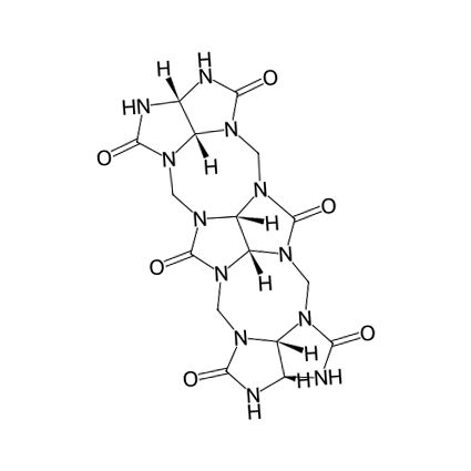 O=C1N[C@H]2NC(=O)N3CN4C(=O)N5CN6C(=O)N[C@H]7NC(=O)N(CN8C(=O)N(CN1[C@@H]23)[C@@H]4[C@H]85)[C@H]76